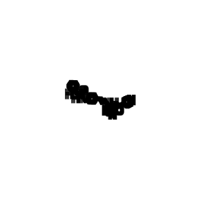 O=C(Nc1ccccc1)Nc1ccc(CCNc2ncnc3oc(-c4ccncc4)cc23)cc1